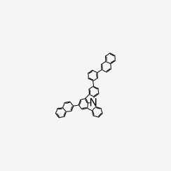 c1cc(-c2ccc3ccccc3c2)cc(-c2ccc3c(c2)c2cc(-c4ccc5ccccc5c4)cc4c5ccccc5n3c42)c1